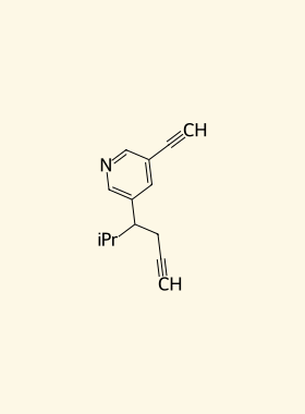 C#CCC(c1cncc(C#C)c1)C(C)C